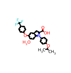 CC(C)Oc1ccc(-n2c(C(=O)O)cc3cc(Oc4ccc(C(F)(F)F)cc4)ccc32)cc1.O